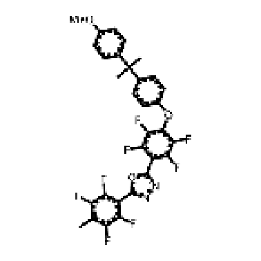 COc1ccc(C(C)(C)c2ccc(Oc3c(F)c(F)c(-c4nnc(-c5c(F)c(F)c(C)c(F)c5F)o4)c(F)c3F)cc2)cc1